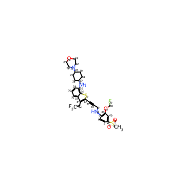 CS(=O)(=O)c1ccc(NCC#Cc2sc3c(NC4CCC(N5CCOCC5)CC4)cccc3c2CC(F)(F)F)c(OCF)c1